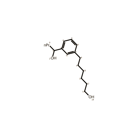 CCCC(O)c1cccc(CCCCCCO)c1